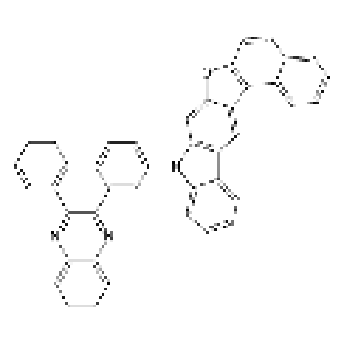 c1ccc(-c2nc3ccccc3nc2-c2cccc(-n3c4ccccc4c4cc5c(cc43)oc3ccc4ccccc4c35)c2)cc1